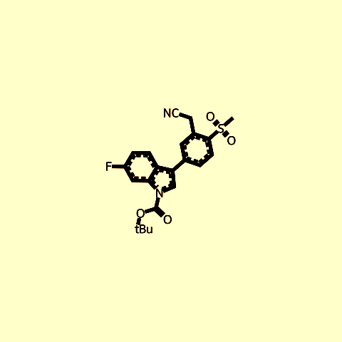 CC(C)(C)OC(=O)n1cc(-c2ccc(S(C)(=O)=O)c(CC#N)c2)c2ccc(F)cc21